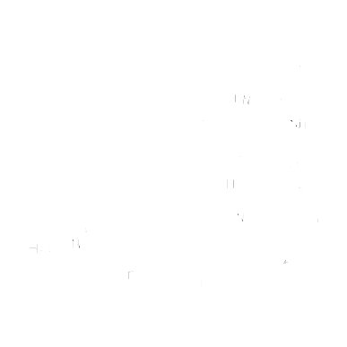 C/C(=N\O)c1cc2c(c(F)c1F)N1C[C@@H](C)O[C@@H](C)[C@@H]1C1(C2)C(=O)NC(=O)NC1=O